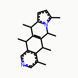 Cc1cncc2c1C(C)C1=C(C2C)C(C)c2ccc(C)n2C1C